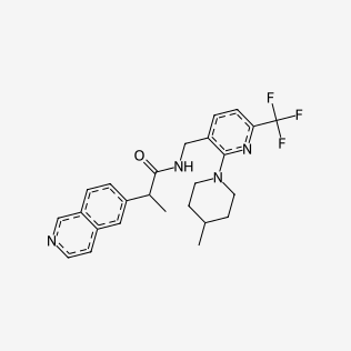 CC1CCN(c2nc(C(F)(F)F)ccc2CNC(=O)C(C)c2ccc3cnccc3c2)CC1